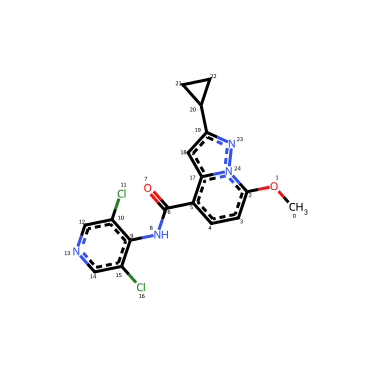 COc1ccc(C(=O)Nc2c(Cl)cncc2Cl)c2cc(C3CC3)nn12